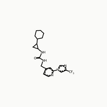 O=C(NCc1ccnc(-n2cnc(C(F)(F)F)c2)c1)NC1CC1C1CCCCC1